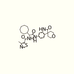 Cc1ncsc1C(=O)NC(C(=O)Nc1ccc2c(c1)NC(=O)C21CCOCC1)C1CCCCCCC1